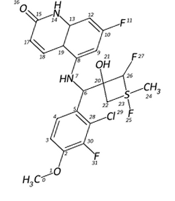 COc1ccc(C(NC2=CC(F)=CC3NC(=O)C=CC23)C2(O)CS(C)(F)C2F)c(Cl)c1F